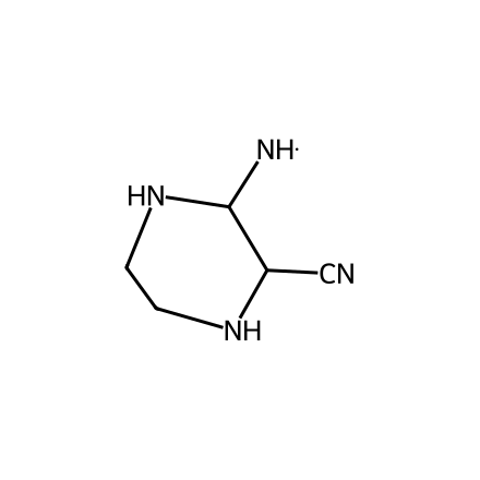 N#CC1NCCNC1[NH]